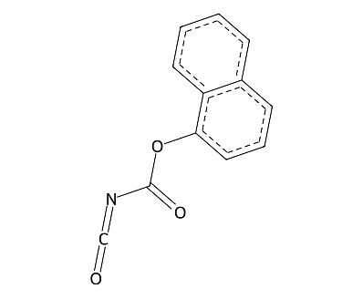 O=C=NC(=O)Oc1cccc2ccccc12